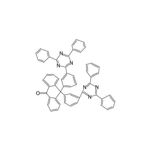 O=C1c2ccccc2C(c2cccc(-c3nc(-c4ccccc4)nc(-c4ccccc4)n3)c2)(c2cccc(-c3nc(-c4ccccc4)nc(-c4ccccc4)n3)c2)c2ccccc21